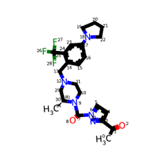 CC(=O)c1ccn(C(=O)N2CCN(Cc3ccc(N4CCCC4)cc3C(F)(F)F)C[C@H]2C)n1